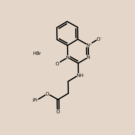 Br.CC(C)OC(=O)CCNc1n[n+]([O-])c2ccccc2[n+]1[O-]